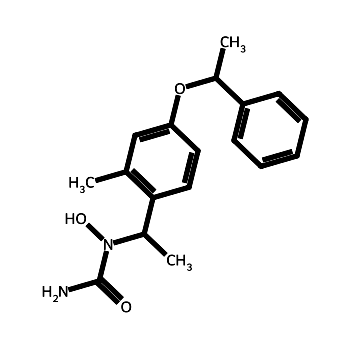 Cc1cc(OC(C)c2ccccc2)ccc1C(C)N(O)C(N)=O